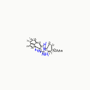 COc1ccc(NC(=N)Nc2ccc3cccc4c3c2C=C4)cc1